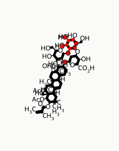 C/C=C(/C)C(=O)O[C@H]1[C@H](OC(C)=O)[C@]2(CO)[C@H](OC(C)=O)C[C@]3(C)C(=CC[C@@H]4[C@@]5(C)CC[C@H](O[C@@H]6O[C@H](C(=O)O)[C@@H](O)[C@H](O[C@@H]7OC[C@H](O)[C@H](O)[C@H]7O[C@@H]7O[C@H](CO)[C@@H](O)[C@H](O)[C@H]7O)[C@H]6O[C@@H]6O[C@H](CO)[C@H](O)[C@H](O)[C@H]6O)[C@@](C)(C=O)[C@@H]5CC[C@]43C)[C@@H]2CC1(C)C